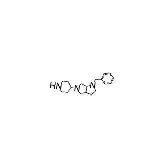 c1ccc(CN2CCC3CN(C4CCNCC4)CC32)cc1